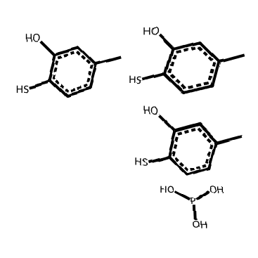 Cc1ccc(S)c(O)c1.Cc1ccc(S)c(O)c1.Cc1ccc(S)c(O)c1.OP(O)O